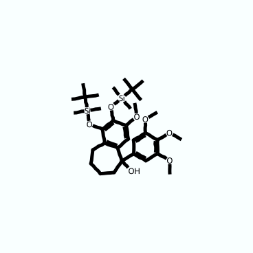 COc1cc(C2(O)CCCCc3c2cc(OC)c(O[Si](C)(C)C(C)(C)C)c3O[Si](C)(C)C(C)(C)C)cc(OC)c1OC